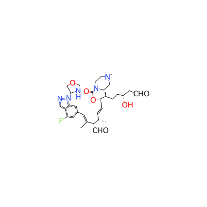 C/C(=C\c1cc(F)c2cnn(C3COCN3)c2c1)[C@@H](C=O)[C@@H](C)/C=C/[C@H](OC(=O)N1CCN(C)CC1)[C@@H](C)CC[C@@H](O)CC=O